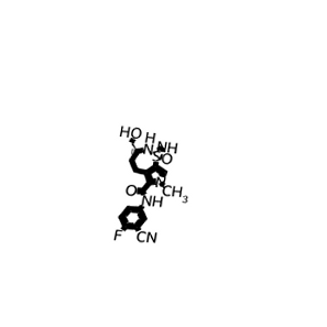 Cn1cc2c(c1C(=O)Nc1ccc(F)c(C#N)c1)CC[C@H](CO)NS2(=N)=O